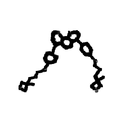 CC1(COCOc2ccc(-c3ccnc4c3ccc3c(-c5ccc(OCOCC6(C)COC6)cc5)ccnc34)cc2)COC1